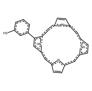 Sc1cccc(-c2cc3cc4nc(cc5ccc(cc6nc(cc2[nH]3)C=C6)[nH]5)C=C4)c1